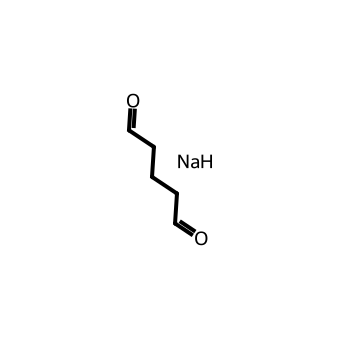 O=CCCCC=O.[NaH]